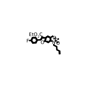 C=CCCCN(c1cc2oc(-c3ccc(F)cc3)c(C(=O)OCC)c2cc1C)S(C)(=O)=O